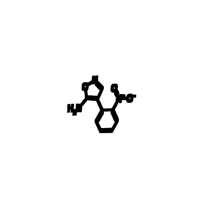 Nc1oncc1-c1ccccc1[N+](=O)[O-]